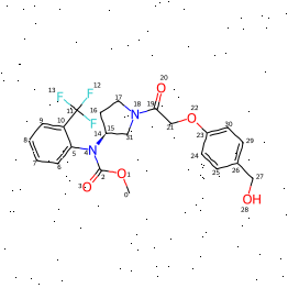 COC(=O)N(c1ccccc1C(F)(F)F)[C@H]1CCN(C(=O)COc2ccc(CO)cc2)C1